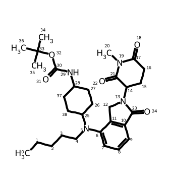 CCCCCN(c1cccc2c1CN(C1CCC(=O)N(C)C1=O)C2=O)C1CCC(NC(=O)OC(C)(C)C)CC1